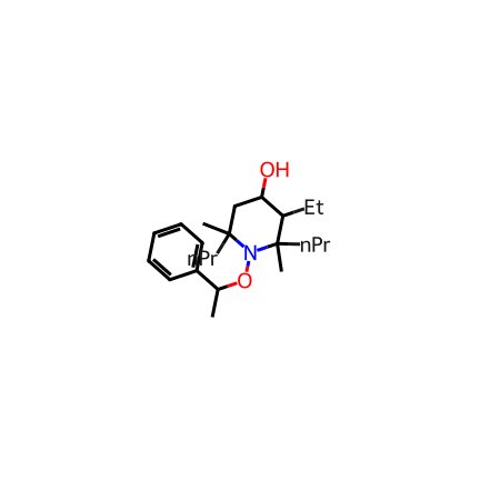 CCCC1(C)CC(O)C(CC)C(C)(CCC)N1OC(C)c1ccccc1